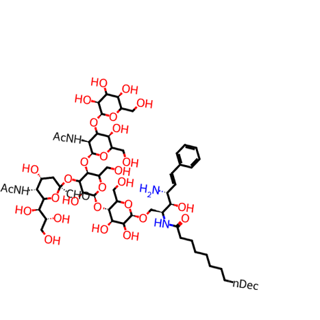 CCCCCCCCCCCCCCCCCC(=O)N[C@@H](CO[C@@H]1OC(CO)[C@@H](O[C@@H]2OC(CO)[C@H](O[C@@H]3OC(CO)[C@H](O)C(O[C@@H]4OC(CO)[C@H](O)C(O)[C@@H]4O)[C@@H]3NC(C)=O)C(O[C@]3(C=O)C[C@@H](O)[C@@H](NC(C)=O)C([C@H](O)[C@H](O)CO)O3)[C@@H]2O)[C@H](O)C1O)[C@H](O)[C@H](N)/C=C/c1ccccc1